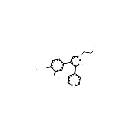 COc1ccc(-c2cn(CCO)nc2-c2ccncc2)cc1C(=O)O